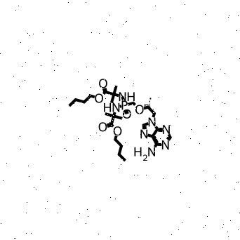 CCCCOC(=O)C(C)(C)NP(=O)(CO[C@H](C)Cn1cnc2c(N)ncnc21)NC(C)(C)C(=O)OCCCC